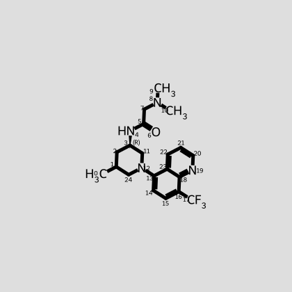 CC1C[C@@H](NC(=O)CN(C)C)CN(c2ccc(C(F)(F)F)c3ncccc23)C1